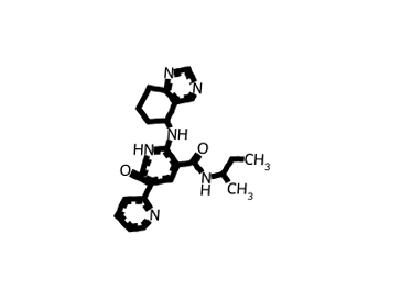 CCC(C)NC(=O)c1cc(-c2ccccn2)c(=O)[nH]c1NC1CCCc2ncncc21